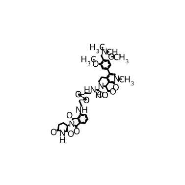 COc1cc(-c2cn(C)c(=O)c3c2CCN(C(=O)NCCS(=O)(=O)CCNc2cccc4c2C(=O)N(C2CCC(=O)NC2=O)C4=O)C3C(=O)O)cc(OC)c1CN(C)C